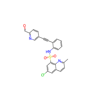 Cc1ccc2cc(Cl)cc(S(=O)(=O)Nc3ccccc3C#Cc3ccc(C=O)nc3)c2n1